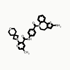 Cc1cnc(N2CC3(CCOCC3)C2)c(C(=O)Nc2ccc(C(=O)N3CCc4cc(N)sc4-c4ccccc43)cc2)c1